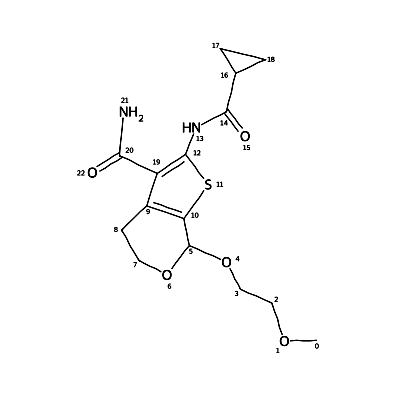 COCCOC1OCCc2c1sc(NC(=O)C1CC1)c2C(N)=O